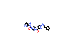 CN(CCC1CCCCC1)c1ccc(C(=O)N2CCN(C(=O)Nc3cccnc3)CC2)cn1